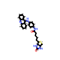 O=C(CCCCC1SCC2NC(=O)NC21)Nc1ccc(Nc2c3ccccc3nc3ccccc23)cc1